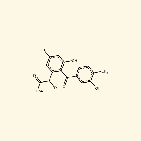 CCC(C(=O)OC)c1cc(O)cc(O)c1C(=O)c1ccc(C)c(O)c1